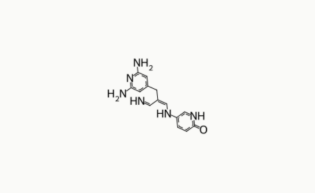 N=C/C(=C\Nc1ccc(=O)[nH]c1)Cc1cc(N)nc(N)c1